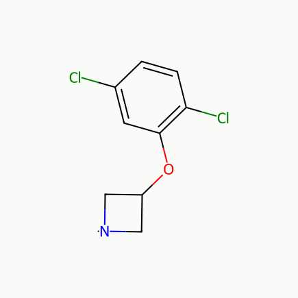 Clc1ccc(Cl)c(OC2C[N]C2)c1